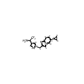 NC(c1cnn(Cc2cn3cc(C4CC4)ccc3n2)c1)C(F)(F)F